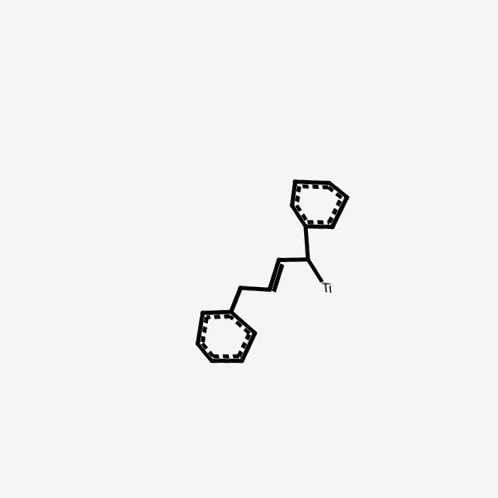 [Ti][CH](/C=C/Cc1ccccc1)c1ccccc1